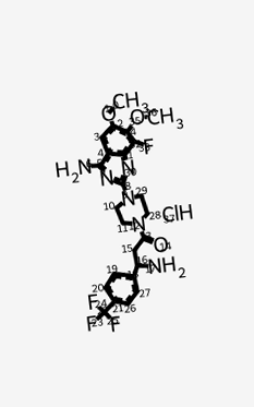 COc1cc2c(N)nc(N3CCN(C(=O)CC(N)c4ccc(C(F)(F)F)cc4)CC3)nc2c(F)c1OC.Cl